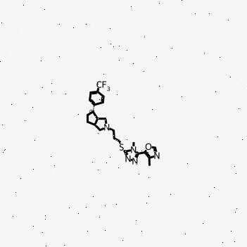 Cc1ncoc1-c1nnc(SCCCN2CC3CC[C@H](c4ccc(C(F)(F)F)cc4)C3C2)n1C